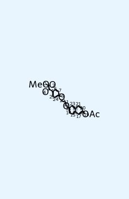 COC(=O)C(=O)c1ccc(OCCOc2ccc3cc(OC(C)=O)ccc3c2)cc1